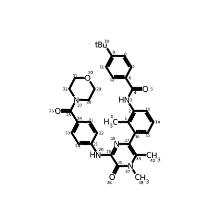 Cc1c(NC(=O)c2ccc(C(C)(C)C)cc2)cccc1-c1nc(Nc2ccc(C(=O)N3CCOCC3)cc2)c(=O)n(C)c1C